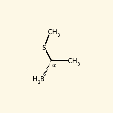 B[C@@H](C)SC